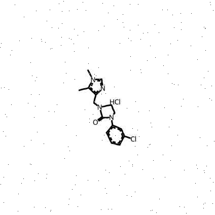 Cc1c(CN2CCN(c3cccc(Cl)c3)C2=O)ncn1C.Cl